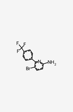 Nc1ccc(Br)c(-c2ccc(C(F)(F)F)cc2)n1